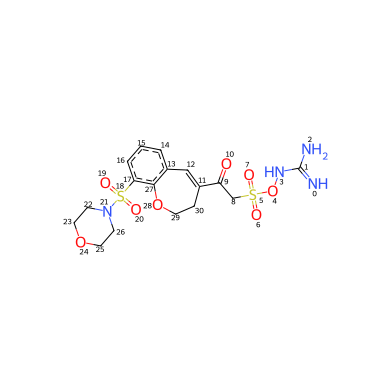 N=C(N)NOS(=O)(=O)CC(=O)C1=Cc2cccc(S(=O)(=O)N3CCOCC3)c2OCC1